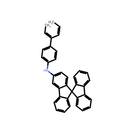 C/C=C\C(=C/C)c1ccc(Nc2ccc3c(c2)-c2ccccc2C32c3ccccc3-c3ccccc32)cc1